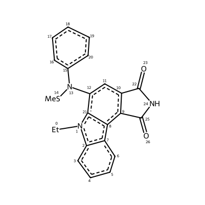 CCn1c2ccccc2c2c3c(cc(N(SC)c4ccccc4)c21)C(=O)NC3=O